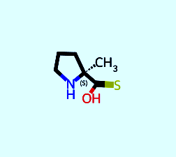 C[C@@]1(C(O)=S)CCCN1